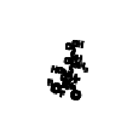 CC(C)(C)[C@H](c1nc(-c2cc(F)ccc2F)cn1Cc1ccccc1)N(CC[C@H](N)C(=O)NCCC(=O)O)C(=O)CO